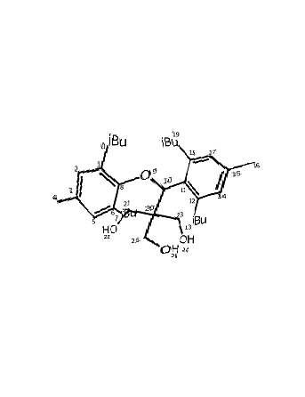 CCC(C)c1cc(C)cc(C(C)CC)c1OC(c1c(C(C)CC)cc(C)cc1C(C)CC)C(CO)(CO)CO